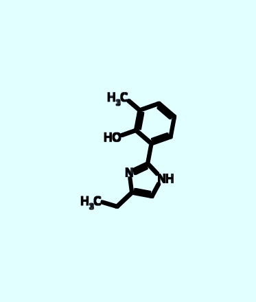 CCc1c[nH]c(-c2cccc(C)c2O)n1